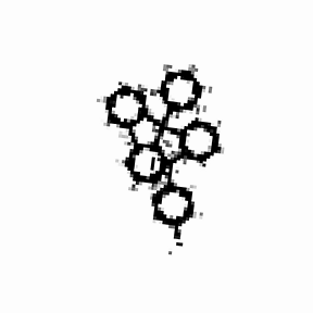 Fc1ccc(Nc2ccccc2C2(c3ccccc3)c3ccccc3-c3ccccc32)cc1